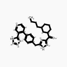 CCCCC1CCCC(C(=O)c2n[nH]c(Cc3ccc(-c4ccncc4-c4nnn[nH]4)cc3)n2)C1